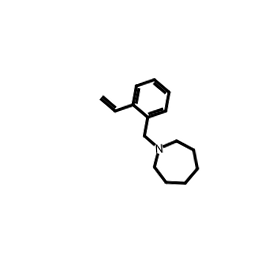 C=Cc1ccccc1CN1CCCCCC1